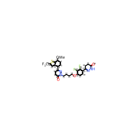 COc1ccc(-c2ccc(=O)n(CCCCOc3ccc(C4=NNC(=O)CC4)c(F)c3F)n2)c2cc(C(F)(F)F)sc12